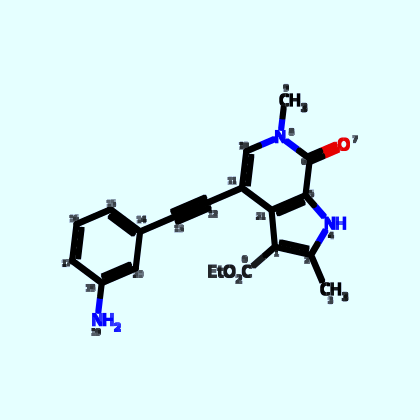 CCOC(=O)c1c(C)[nH]c2c(=O)n(C)cc(C#Cc3cccc(N)c3)c12